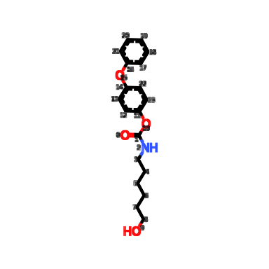 O=C(NCCCCCCO)Oc1ccc(Oc2ccccc2)cc1